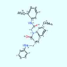 COc1ccc2cc(CNc3ccccc3)c(=O)n(CC(=O)Nc3ccccc3OC)c2c1